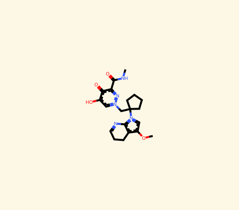 CNC(=O)c1nn(CC2(n3cc(OC)c4c3N=CCC4)CCCC2)cc(O)c1=O